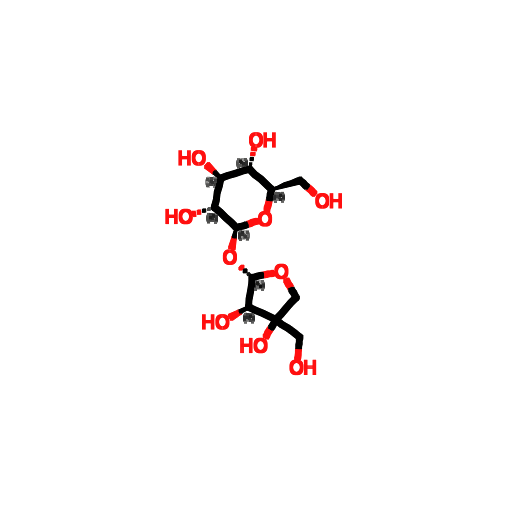 OC[C@H]1O[C@@H](O[C@@H]2OCC(O)(CO)[C@H]2O)[C@H](O)[C@@H](O)[C@@H]1O